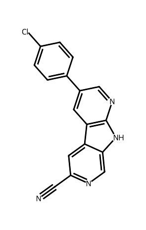 N#Cc1cc2c(cn1)[nH]c1ncc(-c3ccc(Cl)cc3)cc12